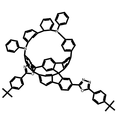 CC(C)(C)c1ccc(-c2nnc(-c3ccc4c(c3)C35c6cc(ccc6-4)-c4ccc(cc4)N(c4ccccc4)C4=CC=CCC4c4cccc(c4)N(c4ccccc4)c4ccc(cc4)-c4ccc(c3c4)-c3ccc(-c4nnc(-c6ccc(C(C)(C)C)cc6)o4)cc35)o2)cc1